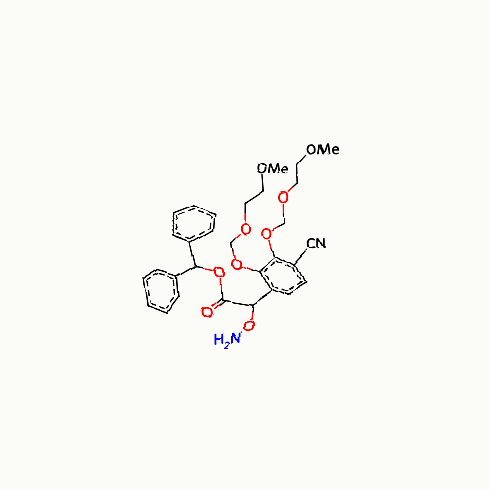 COCCOCOc1c(C#N)ccc(C(ON)C(=O)OC(c2ccccc2)c2ccccc2)c1OCOCCOC